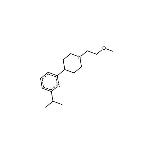 COCCN1CCC(c2cccc(C(C)C)n2)CC1